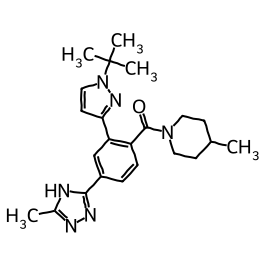 Cc1nnc(-c2ccc(C(=O)N3CCC(C)CC3)c(-c3ccn(C(C)(C)C)n3)c2)[nH]1